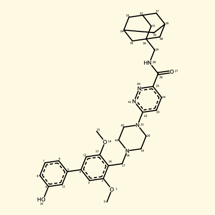 COc1cc(-c2cccc(O)c2)cc(OC)c1CN1CCN(c2ccc(C(=O)NCC34CC5CC(CC(C5)C3)C4)nn2)CC1